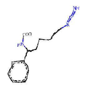 N=[N+]=NCCCCC(NC(=O)[O-])c1ccccc1